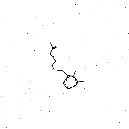 Cc1cccc(CN[C@@H](CCC(N)=O)C(=O)O)c1C